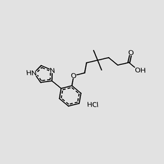 CC(C)(CCOc1ccccc1-c1c[nH]cn1)CCC(=O)O.Cl